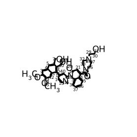 COc1cc2cc(CO)c(CO)c(-c3ccnc(-n4c(=O)cc(C(=O)N5CCN(CCO)CC5)c5ccccc54)c3)c2cc1OC